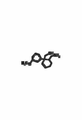 COc1cccc(C2(CO)C=CCCC2CN)c1